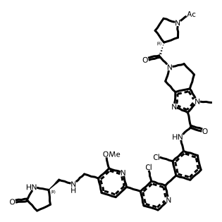 COc1nc(-c2ccnc(-c3cccc(NC(=O)c4nc5c(n4C)CCN(C(=O)[C@@H]4CCN(C(C)=O)C4)C5)c3Cl)c2Cl)ccc1CNC[C@H]1CCC(=O)N1